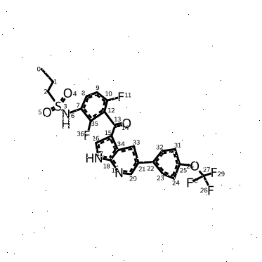 CCCS(=O)(=O)Nc1ccc(F)c(C(=O)c2c[nH]c3ncc(-c4ccc(OC(F)(F)F)cc4)cc23)c1F